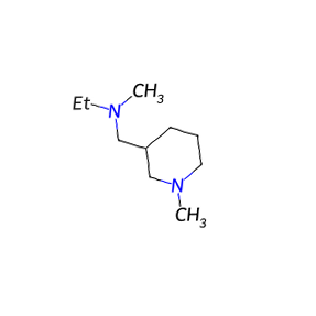 CCN(C)CC1CCCN(C)C1